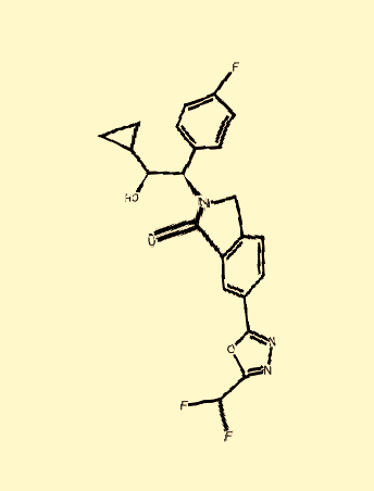 O=C1c2cc(-c3nnc(C(F)F)o3)ccc2CN1[C@H](c1ccc(F)cc1)[C@@H](O)C1CC1